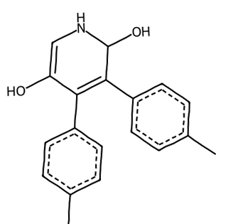 Cc1ccc(C2=C(c3ccc(C)cc3)C(O)NC=C2O)cc1